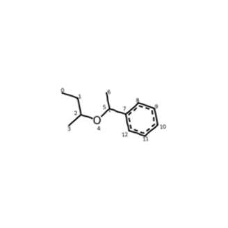 CCC(C)O[C](C)c1ccccc1